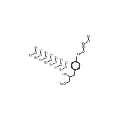 CC(=O)OCC(O)Cc1ccc(C)cc1.CCOCC.CCOCC.CCOCC.CCOCC.CCOCC.CCOCC.CCOCC.CCOCC.CCOCC